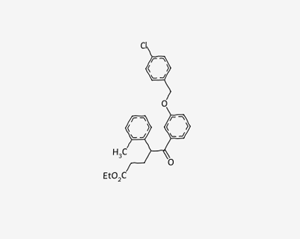 CCOC(=O)CCC(C(=O)c1cccc(OCc2ccc(Cl)cc2)c1)c1ccccc1C